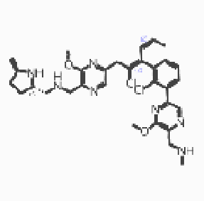 C=C1CC[C@@H](CNCc2ncc(C/C(Cl)=C(\C=C/C)c3cccc(-c4cnc(CNC)c(OC)n4)c3Cl)nc2OC)N1